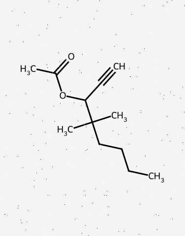 C#CC(OC(C)=O)C(C)(C)CCCC